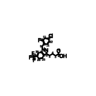 O=C(O)CCCc1nn(Cc2ccc(Cl)cc2F)c2cc(C(F)(F)F)ccc12